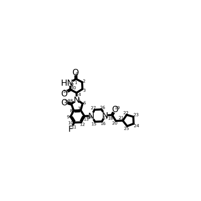 O=C1CCC(N2Cc3c(cc(F)cc3N3CCN(C(=O)CC4CCCC4)CC3)C2=O)C(=O)N1